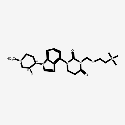 C[Si](C)(C)CCOCN1C(=O)CCN(c2cccc3c2ccn3[C@@H]2CCN(C(=O)O)C[C@@H]2F)C1=O